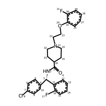 O=C(N[C@@H](c1ccc(Cl)cc1)c1ccccc1F)C1CCN(CCOc2ccccc2F)CC1